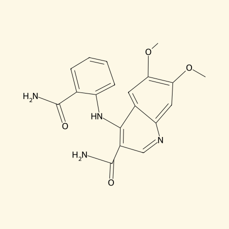 COc1cc2ncc(C(N)=O)c(Nc3ccccc3C(N)=O)c2cc1OC